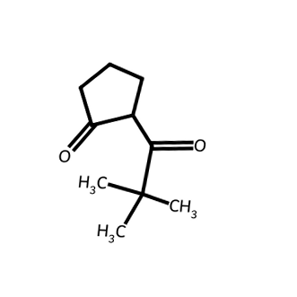 CC(C)(C)C(=O)C1CCCC1=O